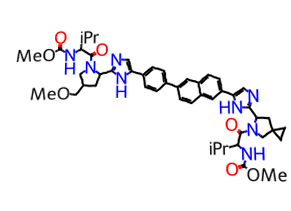 COCC1CC(c2ncc(-c3ccc(-c4ccc5cc(-c6cnc(C7CC8(CC8)CN7C(=O)C(NC(=O)OC)C(C)C)[nH]6)ccc5c4)cc3)[nH]2)N(C(=O)C(NC(=O)OC)C(C)C)C1